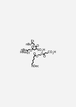 CCCCC(CC)COC(=O)CC(C(=O)OCC(CC)CCCC)S(=O)(=O)O.CCCCCCCCCCCCCCCC(=O)OCCOC(=O)CCC(=O)O.[NaH]